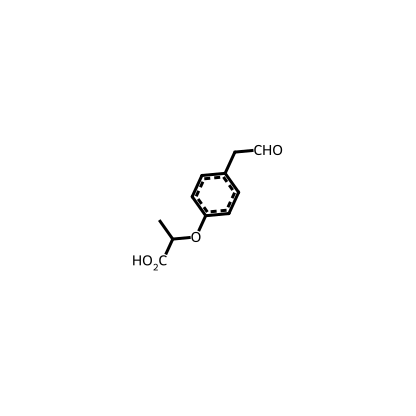 CC(Oc1ccc(CC=O)cc1)C(=O)O